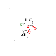 CCC(=O)OC(=O)CC.Cl